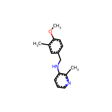 COc1ccc(CNc2cccnc2C)cc1C